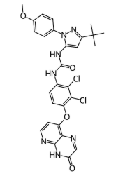 COc1ccc(-n2nc(C(C)(C)C)cc2NC(=O)Nc2ccc(Oc3ccnc4[nH]c(=O)cnc34)c(Cl)c2Cl)cc1